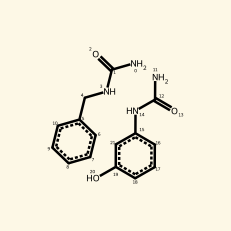 NC(=O)NCc1ccccc1.NC(=O)Nc1cccc(O)c1